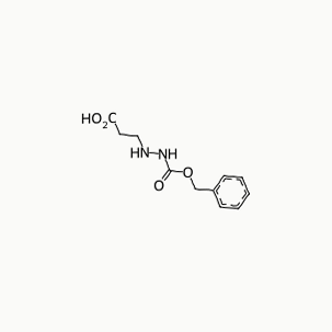 O=C(O)CCNNC(=O)OCc1ccccc1